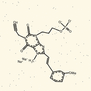 C#CCn1c(=O)c2c(nc(/C=C/c3cccc(OC)c3)n2C)n(CCCOP(=O)([O-])[O-])c1=O.[Na+].[Na+]